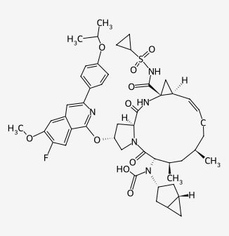 COc1cc2cc(-c3ccc(OC(C)C)cc3)nc(O[C@@H]3C[C@H]4C(=O)N[C@]5(C(=O)NS(=O)(=O)C6CC6)C[C@H]5/C=C\CC[C@@H](C)C[C@@H](C)[C@H](N(C(=O)O)[C@H]5CC6C[C@H]6C5)C(=O)N4C3)c2cc1F